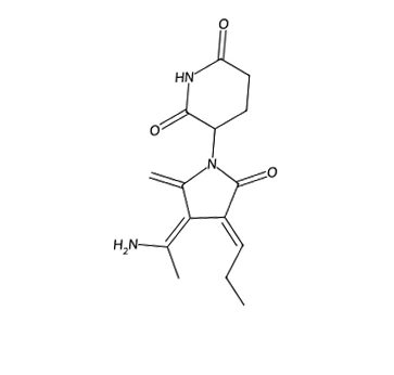 C=C1C(=C(/C)N)/C(=C\CC)C(=O)N1C1CCC(=O)NC1=O